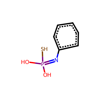 OP(O)(S)=Nc1ccccc1